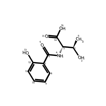 C[C@@H](O)[C@H](NC(=O)c1ccccc1O)C(=O)O